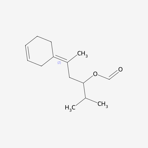 C/C(CC(OC=O)C(C)C)=C1/CC=CCC1